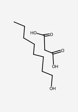 CCCCCCCCO.O=C(O)CC(=O)O